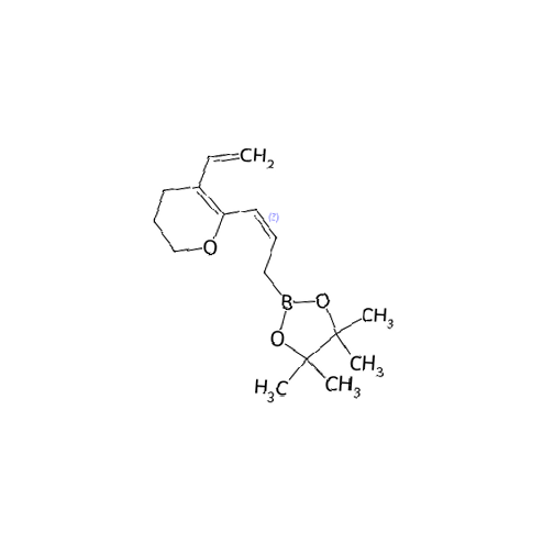 C=CC1=C(/C=C\CB2OC(C)(C)C(C)(C)O2)OCCC1